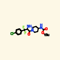 CC(C)(C)OC(=O)NC1CCN(C(=O)C(N)C(F)(F)c2ccc(Cl)cc2)CC1